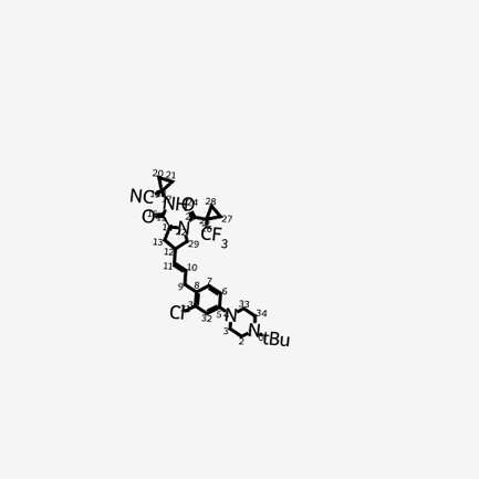 CC(C)(C)N1CCN(c2ccc(C/C=C/C3C[C@@H](C(=O)NC4(C#N)CC4)N(C(=O)C4(C(F)(F)F)CC4)C3)c(Cl)c2)CC1